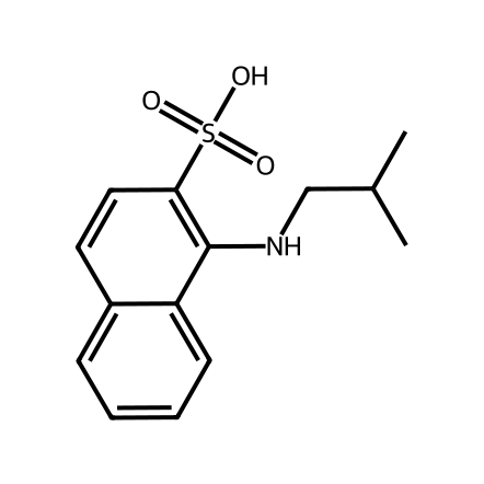 CC(C)CNc1c(S(=O)(=O)O)ccc2ccccc12